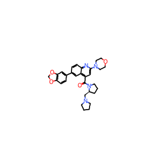 O=C(c1cc(N2CCOCC2)nc2ccc(-c3ccc4c(c3)OCO4)cc12)N1CCC[C@H]1CN1CCCC1